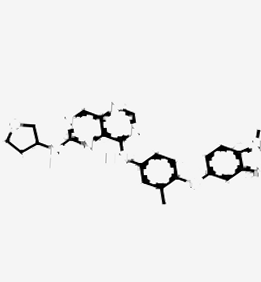 Cc1cc(Nc2ncnc3cnc(NC4CCOC4)nc23)ccc1Oc1ccc2c(c1)ncn2C